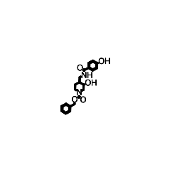 O=C(NCC1CCN(C(=O)OCc2ccccc2)CC1O)c1ccc(O)cc1